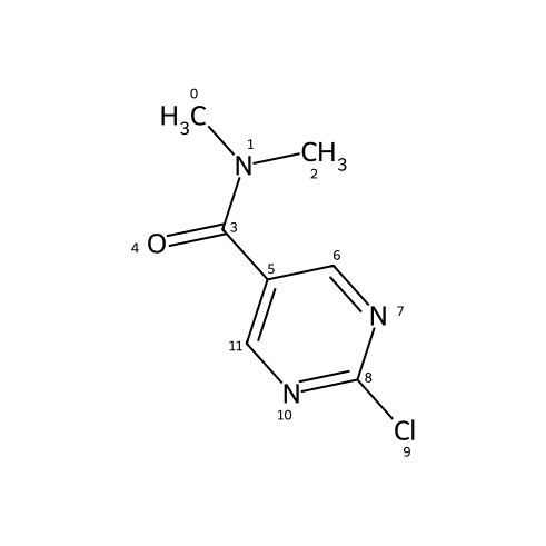 CN(C)C(=O)c1cnc(Cl)nc1